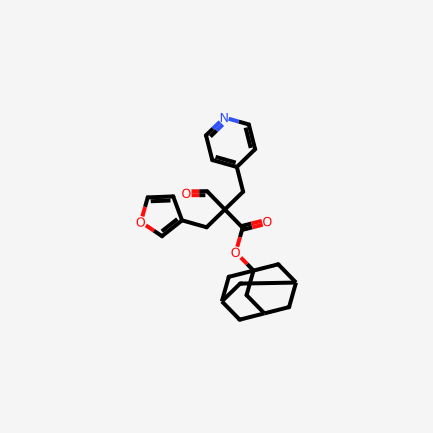 O=CC(Cc1ccncc1)(Cc1ccoc1)C(=O)OC12CC3CC(CC(C3)C1)C2